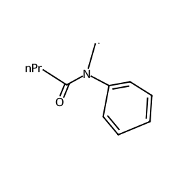 [CH2]N(C(=O)CCC)c1ccccc1